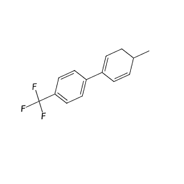 CC1C=CC(c2ccc(C(F)(F)F)cc2)=CC1